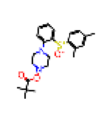 Cc1ccc([S+]([O-])c2ccccc2N2CCN(OC(=O)C(C)(C)C)CC2)c(C)c1